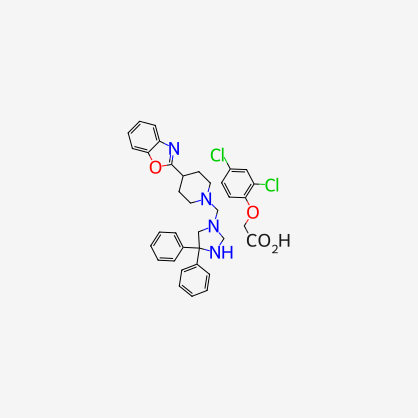 O=C(O)COc1ccc(Cl)cc1Cl.c1ccc(C2(c3ccccc3)CN(CN3CCC(c4nc5ccccc5o4)CC3)CN2)cc1